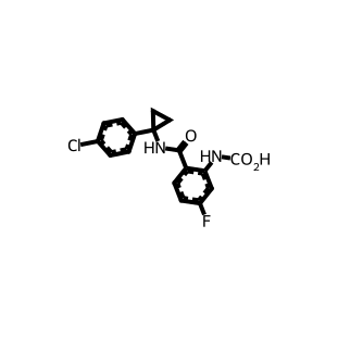 O=C(O)Nc1cc(F)ccc1C(=O)NC1(c2ccc(Cl)cc2)CC1